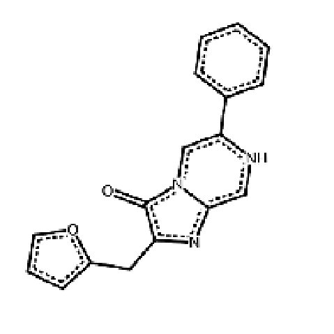 O=c1c(Cc2ccco2)nc2c[nH]c(-c3ccccc3)cn1-2